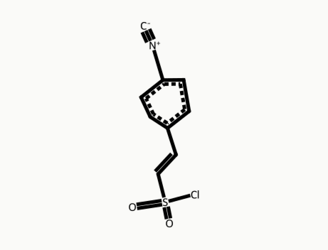 [C-]#[N+]c1ccc(/C=C/S(=O)(=O)Cl)cc1